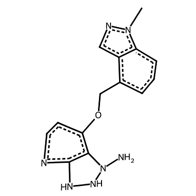 Cn1ncc2c(COc3ccnc4c3N(N)NN4)cccc21